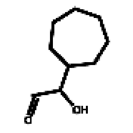 O=[C]C(O)C1CCCCCC1